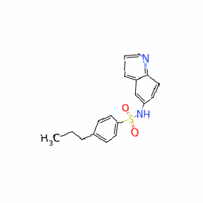 CCCc1ccc(S(=O)(=O)Nc2ccc3ncccc3c2)cc1